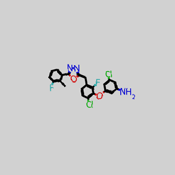 Cc1c(F)cccc1-c1nnc(Cc2ccc(Cl)c(Oc3cc(N)cc(Cl)c3)c2F)o1